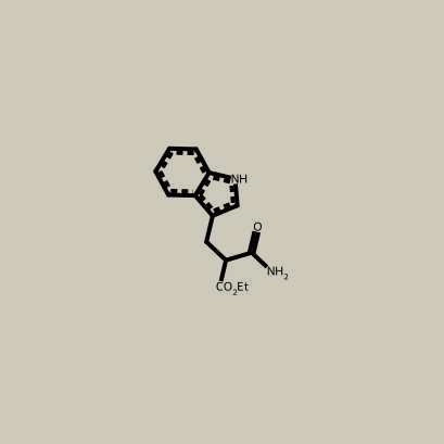 CCOC(=O)C(Cc1c[nH]c2ccccc12)C(N)=O